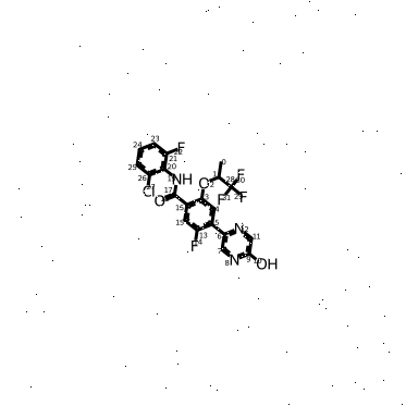 CC(Oc1cc(-c2cnc(O)cn2)c(F)cc1C(=O)Nc1c(F)cccc1Cl)C(F)(F)F